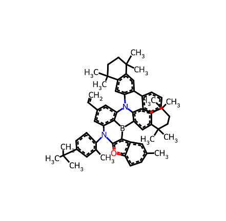 C=Cc1cc2c3c(c1)N(c1ccc(C(C)(C)C)cc1C)c1oc4ccc(C)cc4c1B3c1cc3c(cc1N2c1cc2c(cc1-c1ccccc1)C(C)(C)CCC2(C)C)C(C)(C)CCC3(C)C